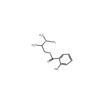 CC(COC(=O)c1ccccc1O)N(C)C